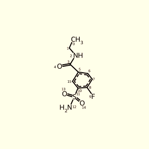 CCNC(=O)c1ccc(F)c(S(N)(=O)=O)c1